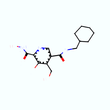 O=C(NCC1CCCCC1)c1cnc(C(=O)NO)c(O)c1CO